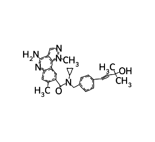 Cc1cc2nc(N)c3cnn(C)c3c2cc1C(=O)N(Cc1ccc(C#CC(C)(C)O)cc1)C1CC1